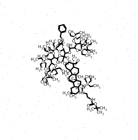 CC[Si](CC)(CC)OCCC(O[Si](CC)(CC)CC)C(O[Si](CC)(CC)CC)C(O[Si](CC)(CC)CC)C(O)OC(CO)(O[C@H]1CC[C@@]2(C)C(CC[C@]3(C)C2CC=C2C4CC(C)(C)CC[C@]4(C(=O)NCCNC(=O)OC(C)(C)C)[C@H](O[Si](CC)(CC)CC)C[C@]23C)[C@]1(C)C=O)C(OC(O)C(O[Si](CC)(CC)CC)C(O[Si](CC)(CC)CC)C(C)O[Si](CC)(CC)CC)C(CC(=O)OCc1ccccc1)O[Si](CC)(CC)CC